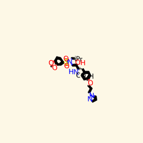 CC(C)CN(C[C@H](O)[C@H](Cc1ccc(OCCCn2cccn2)cc1)NC(=O)O)S(=O)(=O)c1ccc2c(c1)OCO2